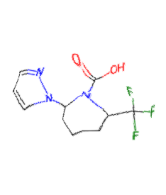 O=C(O)N1C(n2cccn2)CCC1C(F)(F)F